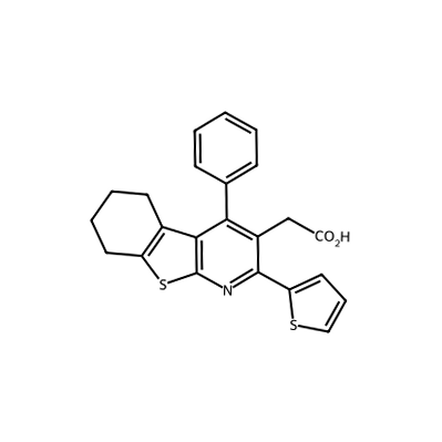 O=C(O)Cc1c(-c2cccs2)nc2sc3c(c2c1-c1ccccc1)CCCC3